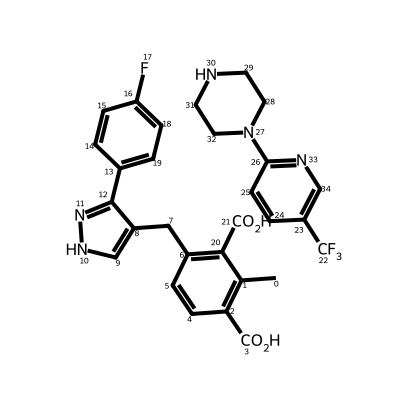 Cc1c(C(=O)O)ccc(Cc2c[nH]nc2-c2ccc(F)cc2)c1C(=O)O.FC(F)(F)c1ccc(N2CCNCC2)nc1